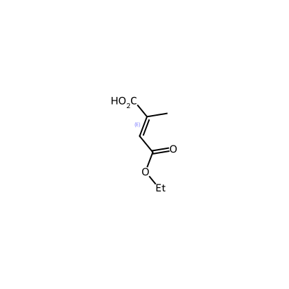 CCOC(=O)/C=C(\C)C(=O)O